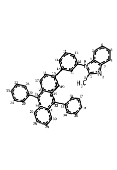 Cc1nc2ccccc2n1-c1cccc(-c2ccc3c(-c4ccccc4)c4ccccc4c(-c4ccccc4)c3c2)c1